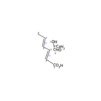 C/C=C/C=C/C(=O)O.O=CO.[CaH2]